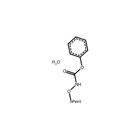 CCCCCONC(=O)Oc1ccccc1.O